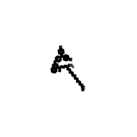 CN(CCCNc1nc(CN2CCN(C(c3ccc(Cl)cc3)c3ccc(Cl)cc3)CC2)nc2ccccc12)CCOCCOCCOCCN=[N+]=[N-]